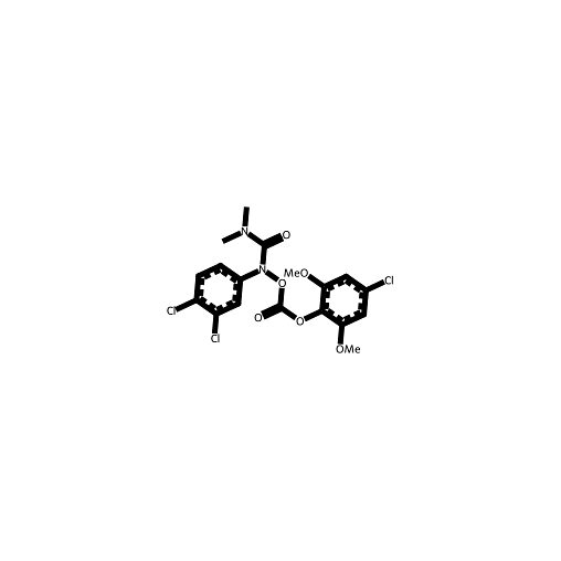 COc1cc(Cl)cc(OC)c1OC(=O)ON(C(=O)N(C)C)c1ccc(Cl)c(Cl)c1